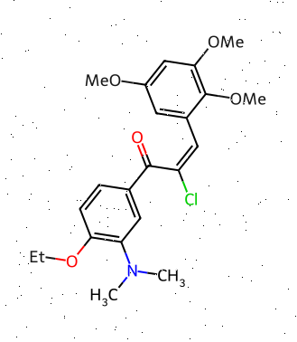 CCOc1ccc(C(=O)/C(Cl)=C\c2cc(OC)cc(OC)c2OC)cc1N(C)C